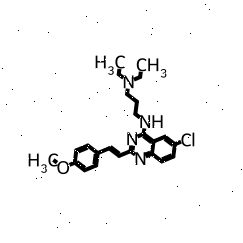 CCN(CC)CCCNc1nc(C=Cc2ccc(OC)cc2)nc2ccc(Cl)cc12